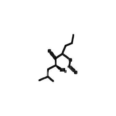 CCCC(O[C]=O)C(=O)[C@@H](N)CC(C)C